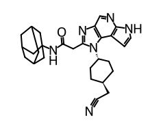 N#CC[C@H]1CC[C@H](n2c(CC(=O)NC34CC5CC(CC(C5)C3)C4)nc3cnc4[nH]ccc4c32)CC1